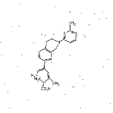 C/C(=C/C(=C\N)c1ccc2c(c1)CN(c1ccnc(N)n1)CC2)C(C)C(=O)O